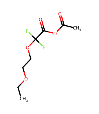 CCOCCOC(F)(F)C(=O)OC(C)=O